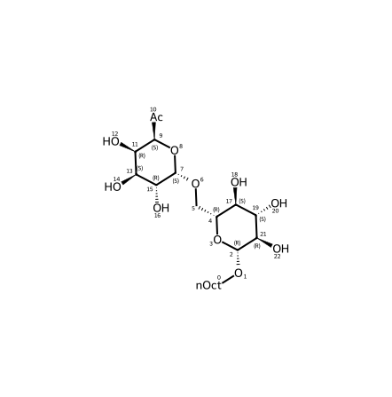 CCCCCCCCO[C@@H]1O[C@H](CO[C@H]2O[C@H](C(C)=O)[C@H](O)[C@H](O)[C@H]2O)[C@@H](O)[C@H](O)[C@H]1O